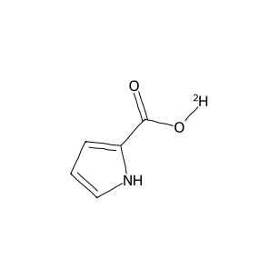 [2H]OC(=O)c1ccc[nH]1